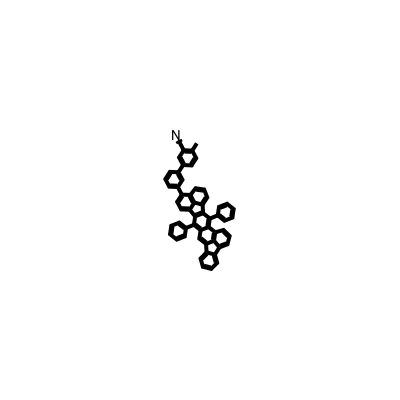 Cc1ccc(-c2cccc(-c3ccc4c5c(-c6ccccc6)c6cc7c8ccccc8c8cccc(c6c(-c6ccccc6)c5c5cccc3c45)c87)c2)cc1C#N